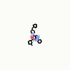 Cc1cccc(C(=O)Nc2c(C(=O)N3CCC(Cc4ccccc4)CC3)cnn2-c2ccccc2)c1